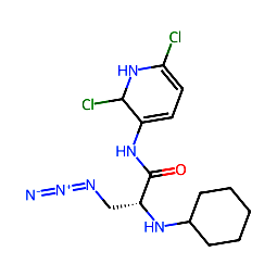 [N-]=[N+]=NC[C@@H](NC1CCCCC1)C(=O)NC1=CC=C(Cl)NC1Cl